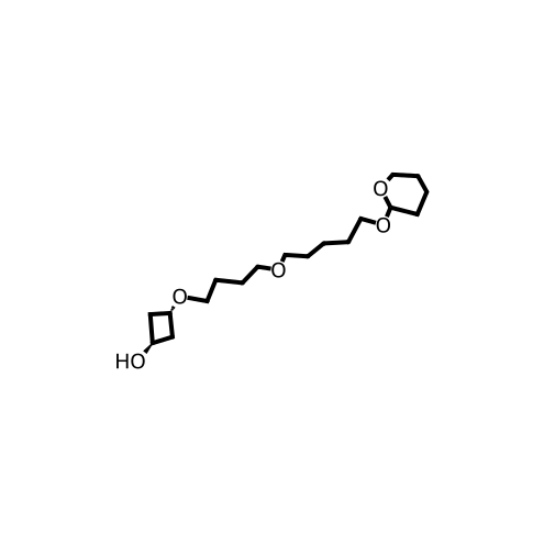 O[C@H]1C[C@H](OCCCCOCCCCCOC2CCCCO2)C1